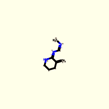 C=C1CCCN/C1=N/C=N\C